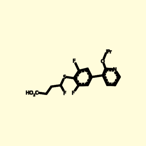 CC(C)Oc1ncccc1-c1cc(F)c(SC(F)CCC(=O)O)c(F)c1